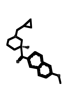 COc1ccc2cc(C(=O)[C@@]3(F)CCCN(CC4CC4)C3)ccc2c1